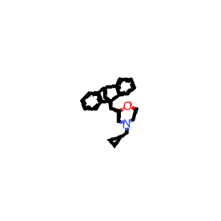 c1ccc2c(c1)C1CC2(CC2CN(CC3CC3)CCO2)c2ccccc21